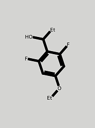 CCOc1cc(F)c(C(O)CC)c(F)c1